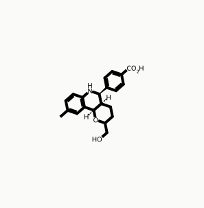 Cc1ccc2c(c1)[C@@H]1OC(CO)CC[C@@H]1[C@H](c1ccc(C(=O)O)cc1)N2